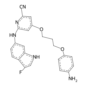 N#Cc1cc(OCCCOc2ccc(N)cc2)cc(Nc2ccc3c(F)c[nH]c3c2)n1